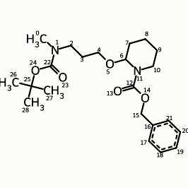 CN(CCCOC1CCCCN1C(=O)OCc1ccccc1)C(=O)OC(C)(C)C